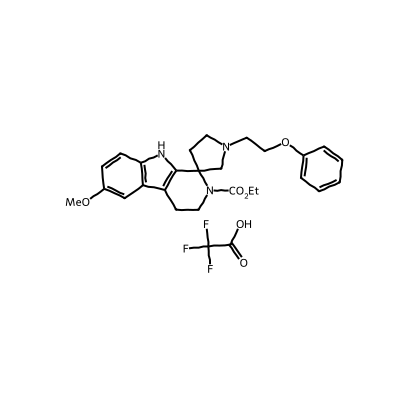 CCOC(=O)N1CCc2c([nH]c3ccc(OC)cc23)C12CCN(CCOc1ccccc1)C2.O=C(O)C(F)(F)F